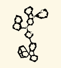 c1ccc(-n2c3ccccc3c3cc(N(c4ccc(-c5ccc6c(c5)C5(c7ccccc7-6)C6CC7CC(C6)CC5C7)cc4)c4cccc5ccccc45)ccc32)cc1